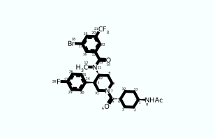 CC(=O)N[C@H]1CC[C@H](C(=O)N2CC[C@@H](N(C)C(=O)c3cc(Br)cc(C(F)(F)F)c3)[C@H](c3ccc(F)cc3)C2)CC1